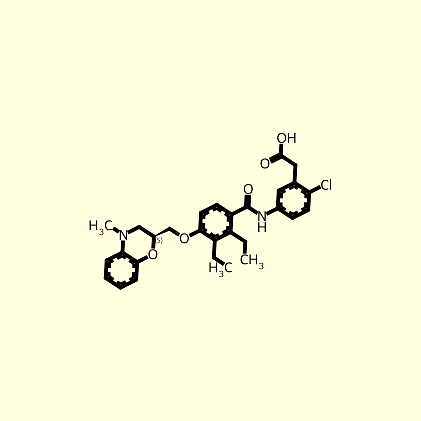 CCc1c(OC[C@@H]2CN(C)c3ccccc3O2)ccc(C(=O)Nc2ccc(Cl)c(CC(=O)O)c2)c1CC